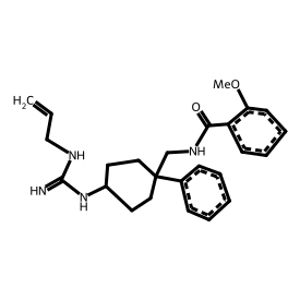 C=CCNC(=N)NC1CCC(CNC(=O)c2ccccc2OC)(c2ccccc2)CC1